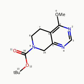 COc1ncnc2c1CCN(C(=O)OC(C)(C)C)C2